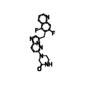 O=C1CN(c2ccc3ncc(Cc4c(F)cc5ncccc5c4F)n3n2)CCN1